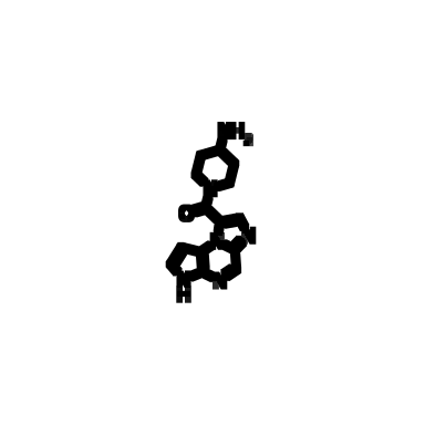 NC1CCN(C(=O)c2cnc3cnc4[nH]ccc4n23)CC1